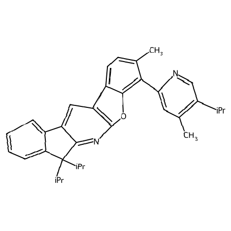 Cc1cc(-c2c(C)ccc3c2oc2nc4c(cc23)-c2ccccc2C4(C(C)C)C(C)C)ncc1C(C)C